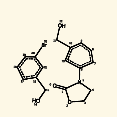 O=C1OCCN1c1cccc(CO)c1.OCc1cccc(Br)c1